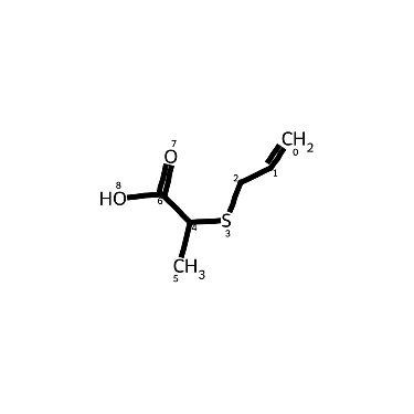 C=CCSC(C)C(=O)O